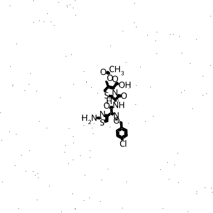 CC(=O)OCC1=C(C(=O)O)N2C(=O)[C@@H](NC(=O)C(=NOCc3ccc(Cl)cc3)c3csc(N)n3)[C@@H]2SC1